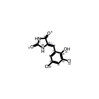 O=C1NC(=O)/C(=C/c2cc(Cl)cc(Cl)c2O)N1